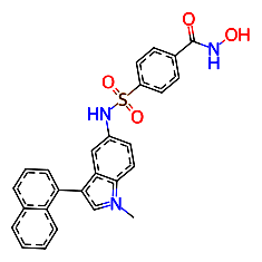 Cn1cc(-c2cccc3ccccc23)c2cc(NS(=O)(=O)c3ccc(C(=O)NO)cc3)ccc21